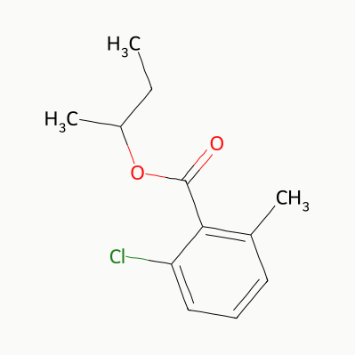 CCC(C)OC(=O)c1c(C)cccc1Cl